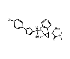 CSC(C(=O)N(C)C)[C@@]1(c2ccccc2)C[C@]1(NS(=O)(=O)c1ccc(-c2ccc(Cl)cc2)s1)C(=O)O